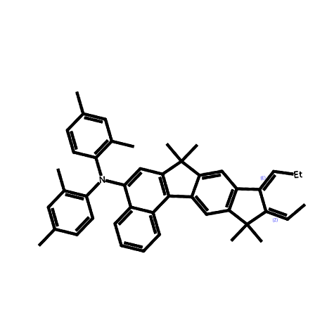 C/C=C1\C(=C/CC)c2cc3c(cc2C1(C)C)-c1c(cc(N(c2ccc(C)cc2C)c2ccc(C)cc2C)c2ccccc12)C3(C)C